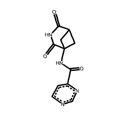 O=C(NC12CC(C1)C(=O)NC2=O)c1ccncn1